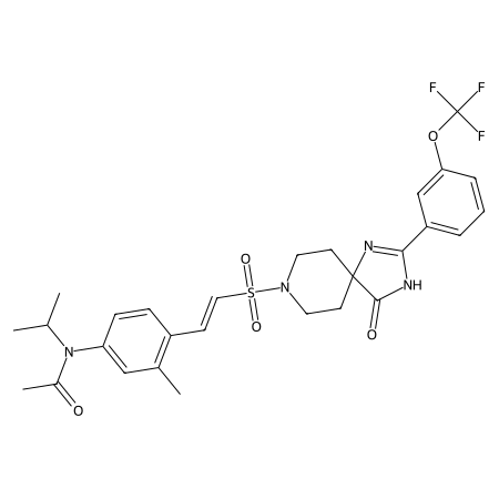 CC(=O)N(c1ccc(C=CS(=O)(=O)N2CCC3(CC2)N=C(c2cccc(OC(F)(F)F)c2)NC3=O)c(C)c1)C(C)C